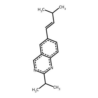 CC(C)/C=C/c1ccc2nc(C(C)C)ncc2c1